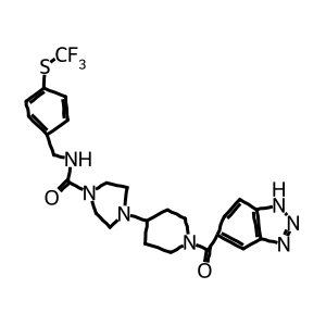 O=C(NCc1ccc(SC(F)(F)F)cc1)N1CCN(C2CCN(C(=O)c3ccc4[nH]nnc4c3)CC2)CC1